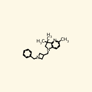 Cc1ccc2c(n1)C(C)(C)CN2CC1CN(Cc2ccccc2)C1